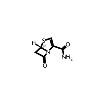 NC(=O)C1=CS[C@H]2CC(=O)N12